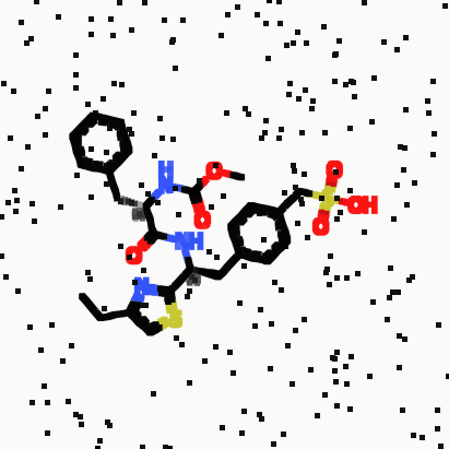 CCc1csc([C@H](Cc2ccc(CS(=O)(=O)O)cc2)NC(=O)[C@H](Cc2ccccc2)NC(=O)OC)n1